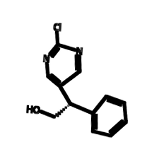 OC[C@@H](c1ccccc1)c1cnc(Cl)nc1